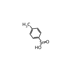 Cc1cc[c]([Sn](=[O])[OH])cc1